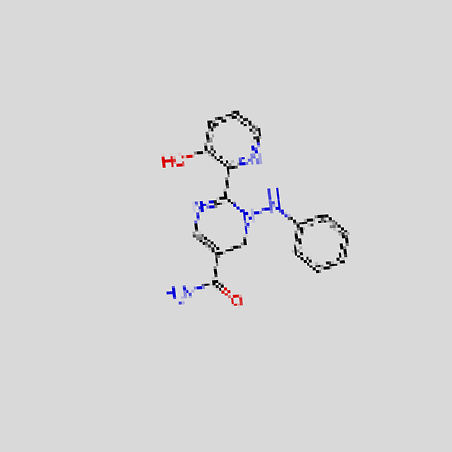 NC(=O)C1=CN=C(c2ncccc2O)N(Nc2ccccc2)C1